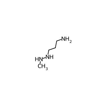 CNNCCCN